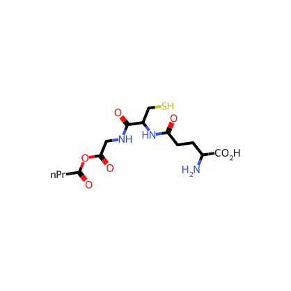 CCCC(=O)OC(=O)CNC(=O)C(CS)NC(=O)CCC(N)C(=O)O